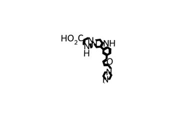 CN1CCN(Cc2ccc(-c3ccc4[nH]c5c(c4c3)CN(C3(C)N=CC(C(=O)O)=CN3)CC5)o2)CC1